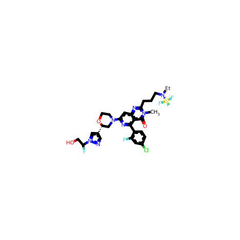 CCN(CCCc1nc2cc(N3CCO[C@@H](c4cnn(C(F)CO)c4)C3)nc(-c3ccc(Cl)cc3F)c2c(=O)n1C)S(F)(F)F